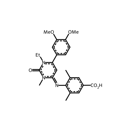 CCn1c(-c2ccc(OC)c(OC)c2)cc(=Nc2c(C)cc(C(=O)O)cc2C)n(C)c1=O